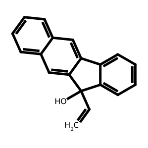 C=CC1(O)c2ccccc2-c2cc3ccccc3cc21